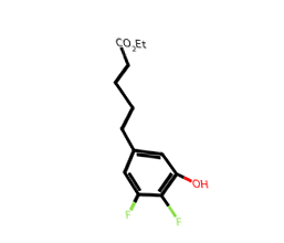 CCOC(=O)CCCCc1cc(O)c(F)c(F)c1